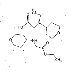 CCN(CC(=O)O)C1CCOCC1.CCOC(=O)CNC1CCOCC1